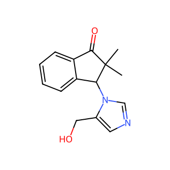 CC1(C)C(=O)c2ccccc2C1n1cncc1CO